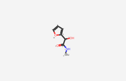 CC(C)(C)NC(=O)C(O)c1ccco1